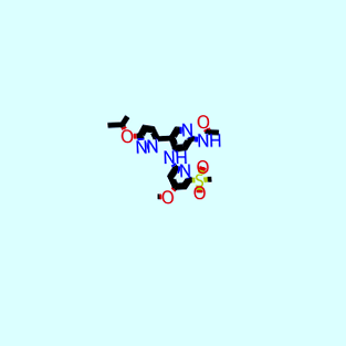 COc1cc(Nc2cc(NC(C)=O)ncc2-c2ccc(OC(C)C)nn2)nc(S(C)(=O)=O)c1